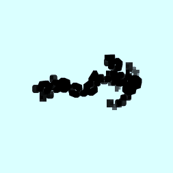 CCc1c(F)ccc2cc(OCOC)cc(-c3ncc4c(N5CCC[C@@]6(CCO6)C5)nc(OCC5(CN6CCC(CN7CCN(c8ccc9c(c8)CN([C@H]8CCC(=O)NC8=O)C9=O)CC7)CC6)CC5)nc4c3F)c12